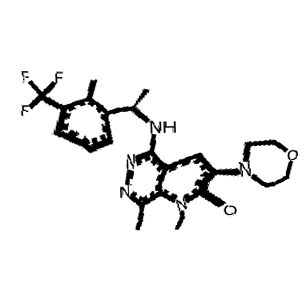 Cc1c([C@@H](C)Nc2nnc(C)c3c2cc(N2CCOCC2)c(=O)n3C)cccc1C(F)(F)F